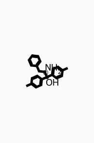 Cc1ccc(C(O)(c2ccc(C)cc2)[C@H](N)Cc2ccccc2)cc1